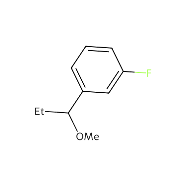 CCC(OC)c1cccc(F)c1